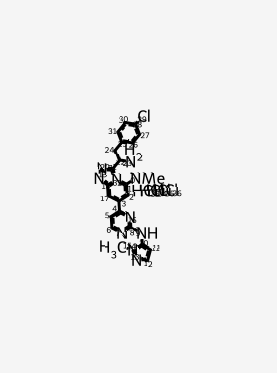 CNc1cc(-c2ccnc(Nc3ccnn3C)n2)cc2nnc(C(N)Cc3ccc(Cl)cc3)n12.Cl.Cl.Cl.Cl